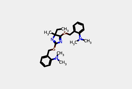 CCC1(C)N=C(SCc2ccccc2N(C)C)N=C1SCc1ccccc1N(C)C